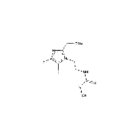 COCc1nc(I)c(I)n1CCNC(=O)OC(C)(C)C